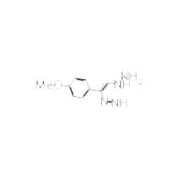 COc1ccc(/C(=C/NN)N=N)cc1